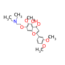 CCN(CC)CCOc1cc2oc(-c3ccc(OC)c(OC)c3)cc(=O)c2c(O)c1OC